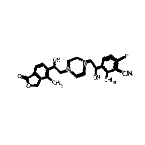 Cc1c(C(O)CN2CCN(CC(O)c3ccc4c(c3C)COC4=O)CC2)ccc(F)c1C#N